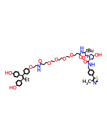 CCC(=C(c1ccc(O)cc1)c1ccc(OCCNC(=O)CCOCCOCCOCCOCCC(=O)N[C@H](C(=O)N2C[C@H](O)C[C@H]2C(=O)NCc2ccc(-c3scnc3C)cc2)C(C)(C)C)cc1)c1ccc(O)cc1